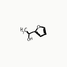 C[C](O)c1ccco1